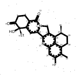 CC[C@@]1(O)C(=O)CCc2c1cc1n(c2=O)Cc2c-1nc1cc(F)c(C)c3c1c2[C@@H](C)CC3